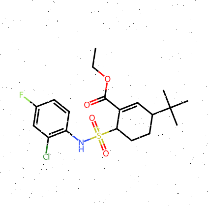 CCOC(=O)C1=CC(C(C)(C)C)CCC1S(=O)(=O)Nc1ccc(F)cc1Cl